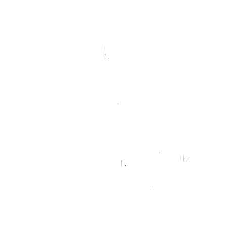 CC(C)(C)OC(=O)N1CCC=C(c2cccc3c2OCCN3)C1